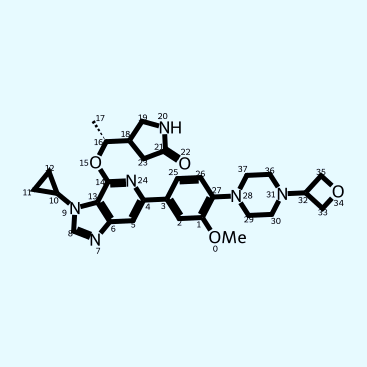 COc1cc(-c2cc3ncn(C4CC4)c3c(O[C@H](C)C3CNC(=O)C3)n2)ccc1N1CCN(C2COC2)CC1